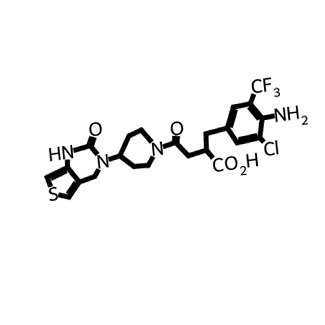 Nc1c(Cl)cc(CC(CC(=O)N2CCC(N3Cc4cscc4NC3=O)CC2)C(=O)O)cc1C(F)(F)F